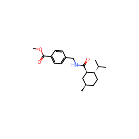 COC(=O)c1ccc(CNC(=O)[C@@H]2C[C@H](C)CC[C@H]2C(C)C)cc1